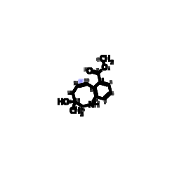 COC(=O)c1cccc2c1/C=C\CC(C)(O)CN2